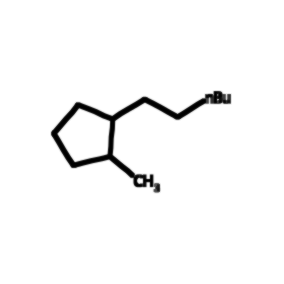 CCCCCCC1CCCC1C